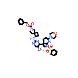 O=C(OCc1ccccc1)N1CCC2(CCC2Nc2ncc(C(F)(F)F)c(-c3cn(S(=O)(=O)c4ccccc4)c4nc(N5CCOCC5)ccc34)n2)C1